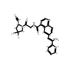 C/C(=C\c1ccc2nccc(C(=O)NCC(=O)N3CC(F)(F)C[C@H]3C#N)c2c1)c1ccccn1